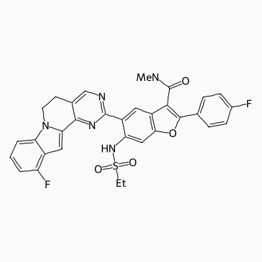 CCS(=O)(=O)Nc1cc2oc(-c3ccc(F)cc3)c(C(=O)NC)c2cc1-c1ncc2c(n1)-c1cc3c(F)cccc3n1CC2